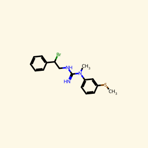 CSc1cccc(N(C)C(=N)NCC(Br)c2ccccc2)c1